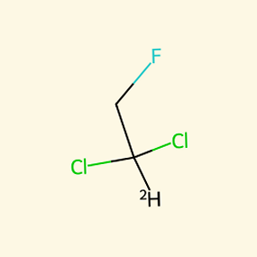 [2H]C(Cl)(Cl)CF